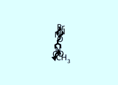 CC1(OC(=O)N2CCC(COc3cnc(Br)cn3)CC2)CC1